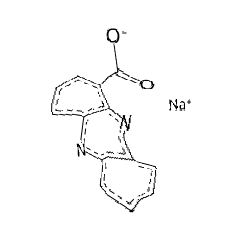 O=C([O-])c1cccc2nc3ccccc3nc12.[Na+]